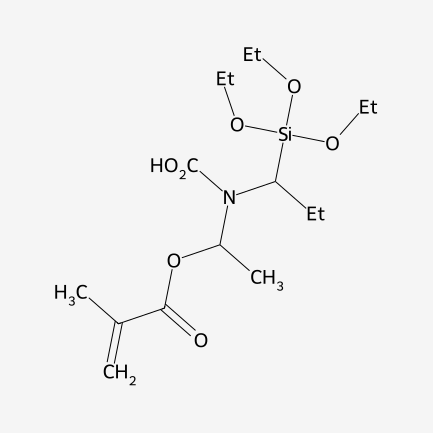 C=C(C)C(=O)OC(C)N(C(=O)O)C(CC)[Si](OCC)(OCC)OCC